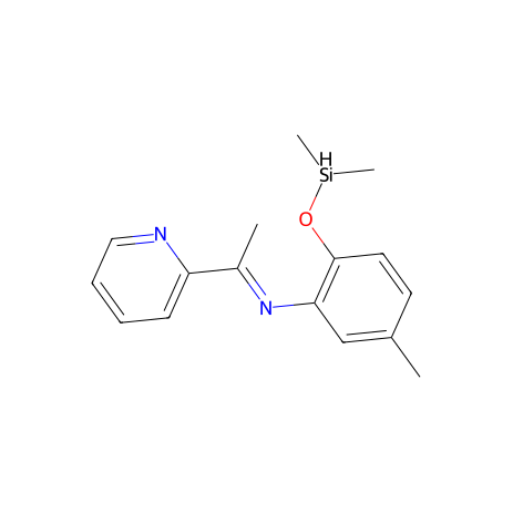 CC(=Nc1cc(C)ccc1O[SiH](C)C)c1ccccn1